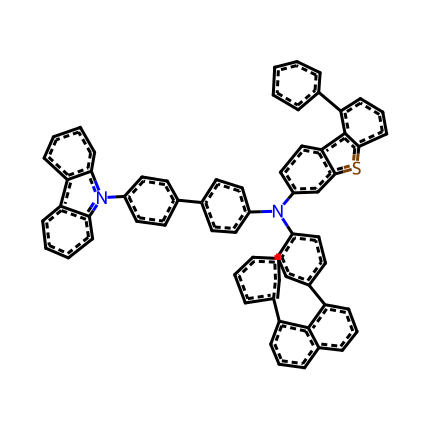 c1ccc(-c2cccc3cccc(-c4ccc(N(c5ccc(-c6ccc(-n7c8ccccc8c8ccccc87)cc6)cc5)c5ccc6c(c5)sc5cccc(-c7ccccc7)c56)cc4)c23)cc1